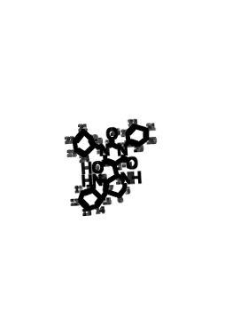 O=c1c(C2NCCc3c2[nH]c2ccccc32)c(O)n(-c2ccccc2)c(=O)n1-c1ccccc1